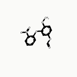 COc1ccc(OC=O)cc1Oc1ccccc1[N+](=O)[O-]